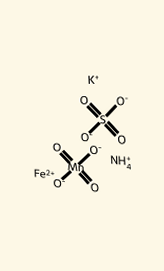 O=S(=O)([O-])[O-].[Fe+2].[K+].[NH4+].[O]=[Mn](=[O])([O-])[O-]